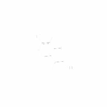 C[C](CO)c1ccc(F)c(F)c1F